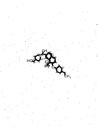 CCC1CCC(Oc2ccc3ccc(C(C)N4CCC(CO)CC4)cc3c2C(F)(F)F)CC1